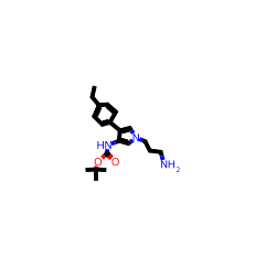 CCc1ccc(-c2cn(CCCN)cc2NC(=O)OC(C)(C)C)cc1